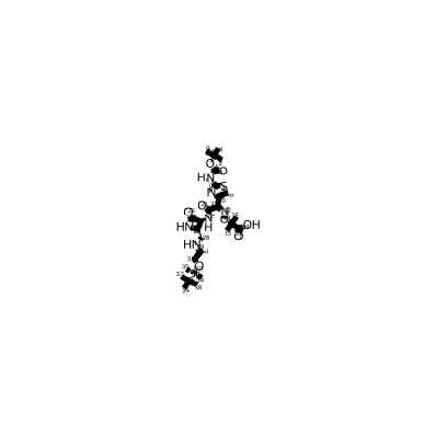 CC(C)(C)OC(=O)Nc1nc(C(=NOC(C)(C)C(=O)O)C(=O)N[C@@H]2C(=O)N[C@H]2CNCCO[Si](C)(C)C(C)(C)C)cs1